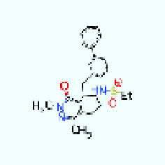 CCS(=O)(=O)N[C@H]1CCc2c(C)nn(C)c(=O)c2[C@H]1Cc1cccc(-c2ccccc2)c1